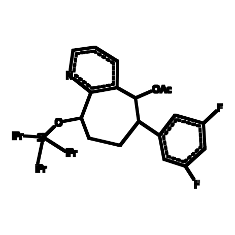 CC(=O)OC1c2cccnc2C(O[Si](C(C)C)(C(C)C)C(C)C)CCC1c1cc(F)cc(F)c1